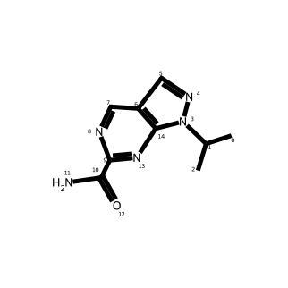 CC(C)n1ncc2cnc(C(N)=O)nc21